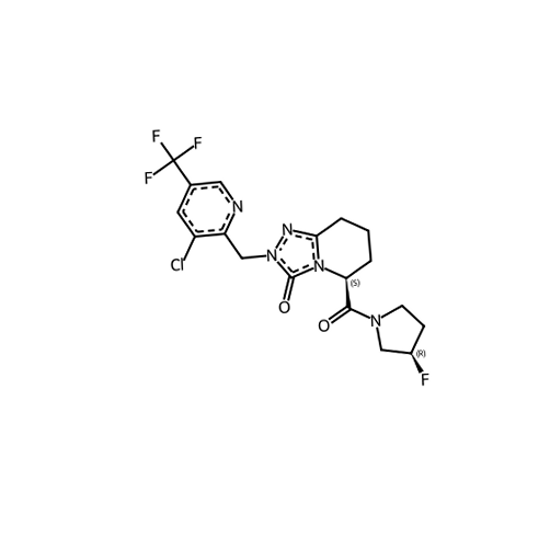 O=C([C@@H]1CCCc2nn(Cc3ncc(C(F)(F)F)cc3Cl)c(=O)n21)N1CC[C@@H](F)C1